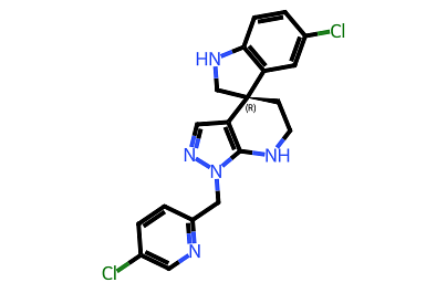 Clc1ccc(Cn2ncc3c2NCC[C@]32CNc3ccc(Cl)cc32)nc1